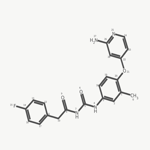 Cc1cc(NC(=O)NC(=O)Cc2ccc(F)cc2)ccc1Oc1ccnc(N)c1